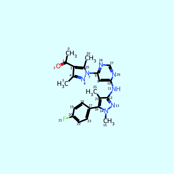 CC(=O)c1c(C)nn(-c2cc(Nc3nn(C)c(-c4ccc(F)cc4)c3C)ncn2)c1C